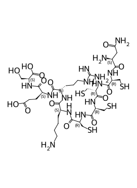 N=C(N)NCCC[C@H](NC(=O)[C@H](CCCCN)NC(=O)[C@H](CS)NC(=O)[C@H](CS)NC(=O)[C@H](CS)NC(=O)[C@H](CS)NC(=O)[C@@H](N)CC(N)=O)C(=O)N[C@@H](CCC(=O)O)C(=O)N[C@@H](CO)C(=O)O